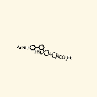 CCOC(=O)N1CCC(N2CCC3(CC2)CNc2c(-c4ccc(NC(C)=O)cc4)cccc23)CC1